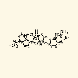 CC(C)(O)c1ncnc2c1ccn2[C@@H]1O[C@@H]2[C@@H](Oc3ccc4cc(Br)c(N)nc4c3)CC[C@]2(O)[C@H]1O